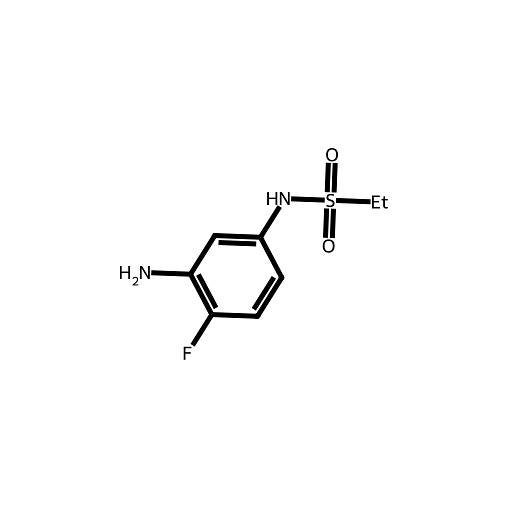 CCS(=O)(=O)Nc1ccc(F)c(N)c1